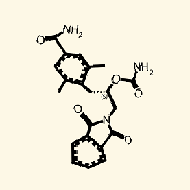 Cc1cc(C(N)=O)cc(C)c1C[C@@H](CN1C(=O)c2ccccc2C1=O)OC(N)=O